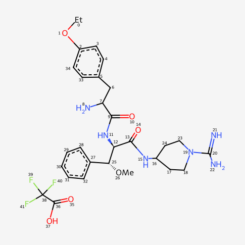 CCOc1ccc(CC(N)C(=O)N[C@@H](C(=O)NC2CCN(C(=N)N)CC2)[C@H](OC)c2ccccc2)cc1.O=C(O)C(F)(F)F